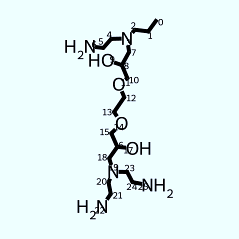 CCCN(CCN)CC(O)COCCOCC(O)CN(CCN)CCN